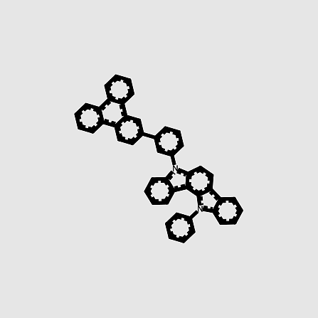 c1ccc(-n2c3ccccc3c3ccc4c(c5ccccc5n4-c4cccc(-c5ccc6c7ccccc7c7ccccc7c6c5)c4)c32)cc1